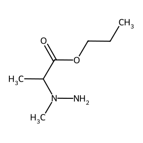 CCCOC(=O)C(C)N(C)N